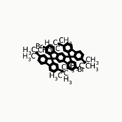 CC(C)(C)c1ccc2c(c1)C1(c3cc(Br)ccc3-c3cc4c(cc31)-c1ccc(Br)cc1C41c3cc(C(C)(C)C)ccc3-c3ccc(C(C)(C)C)cc31)c1cc(C(C)(C)C)ccc1-2